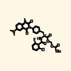 CN(C)c1ccc2c(c1)c(=O)n(-c1ccc(C[C@H](NC(=O)c3c(F)cccc3Cl)C(=O)OCOC(=O)C(C)(C)C)cc1)c(=O)n2C